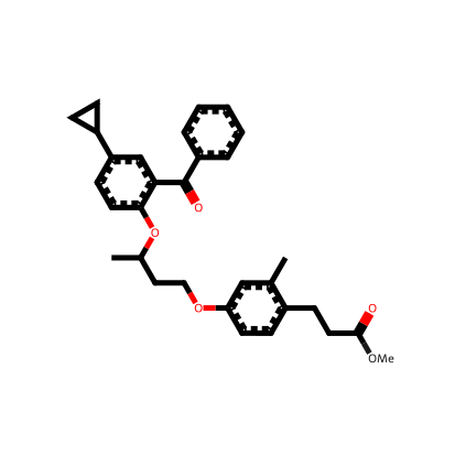 COC(=O)CCc1ccc(OCCC(C)Oc2ccc(C3CC3)cc2C(=O)c2ccccc2)cc1C